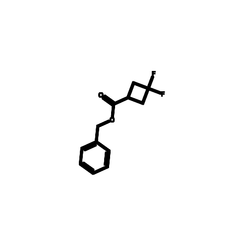 O=C(OCc1ccccc1)C1CC(F)(F)C1